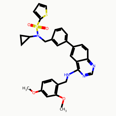 COc1ccc(CNc2ncnc3ccc(-c4cccc(CN(C5CC5)S(=O)(=O)c5cccs5)c4)cc23)c(OC)c1